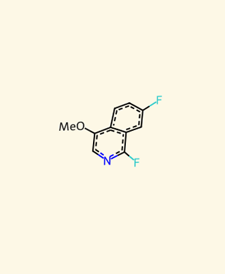 COc1cnc(F)c2cc(F)ccc12